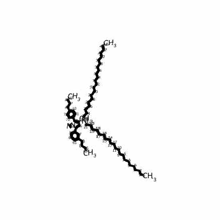 CCCCCCCCCCCCCCCCCCCCC[CH2][Ni][CH2]CCCCCCCCCCCCCCCCCCCCC.CCCCc1ccc(C2=C(C)C=C(c3cccc(CCCC)c3)[N+]2=[N-])cc1